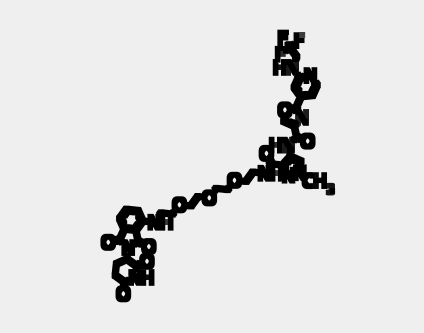 Cn1cc(NC(=O)c2coc(-c3ccnc(NCC(F)(F)F)c3)n2)c(C(=O)NCCOCCOCCOCCNc2cccc3c2C(=O)N(C2CCC(=O)NC2=O)C3=O)n1